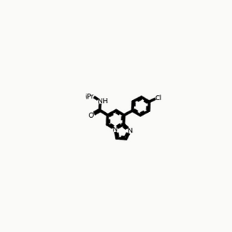 CC(C)NC(=O)c1cc(-c2ccc(Cl)cc2)c2nccn2c1